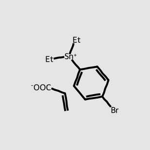 C=CC(=O)[O-].C[CH2][Sn+]([CH2]C)[c]1ccc(Br)cc1